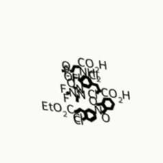 CCOC(=O)/C(Cl)=C/c1cc(N2C(=O)C3=C(CCCC3)C2=O)ccc1Cl.CP(=O)(O)CCC(N)C(=O)O.Cc1nn(-c2cc(CC(Cl)C(=O)O)c(Cl)cc2F)c(=O)n1C(F)F